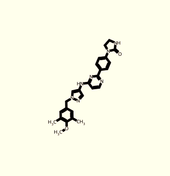 COc1c(C)cc(Cn2cc(Nc3ccnc(-c4ccc(N5CCNC5=O)cc4)n3)cn2)cc1C